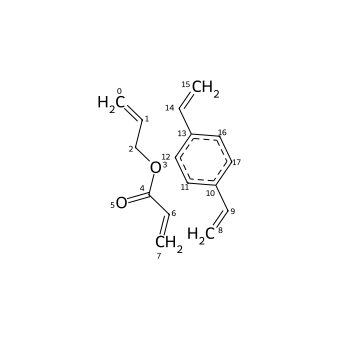 C=CCOC(=O)C=C.C=Cc1ccc(C=C)cc1